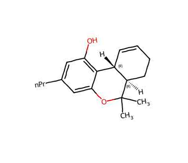 CCCc1cc(O)c2c(c1)OC(C)(C)[C@@H]1CCC=C[C@@H]21